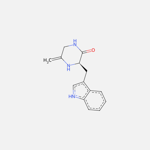 C=C1CNC(=O)[C@@H](Cc2c[nH]c3ccccc23)N1